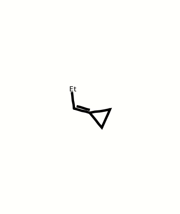 [CH2]CC=C1CC1